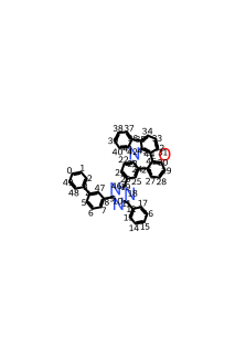 c1ccc(-c2cccc(-c3nc(-c4ccccc4)nc(-c4ccc5c(c4)c4cccc6oc7ccc8c9ccccc9n5c8c7c64)n3)c2)cc1